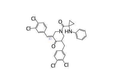 O=C1/C(=C/c2ccc(Cl)c(Cl)c2)CN(C(=O)C2(Nc3ccccc3)CC2)CC1Cc1ccc(Cl)c(Cl)c1